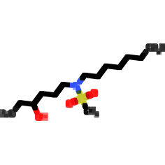 CC(C)COCC(O)CCCN(CCCCCCC(=O)O)S(C)(=O)=O